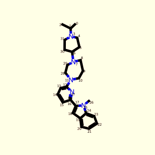 CC(C)N1CCC(N2CCCN(c3cccc(-c4cc5ccccc5n4C)n3)CC2)CC1